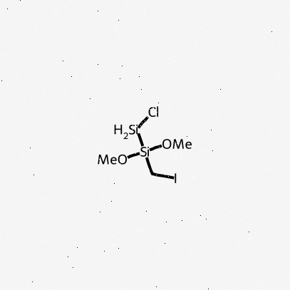 CO[Si](CI)(OC)[SiH2]Cl